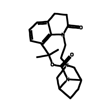 CC(C)(C)OC(=O)N1C2CCC1CN(CCN1C(=O)CCc3ccccc31)C2